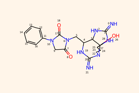 N=C1NC2C(CN3C(=O)CN(c4ccccc4)C3=O)NC(=N)N3CCC(O)C23N1